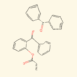 C=CC(=O)Oc1ccccc1C(=O)c1ccccc1.O=C(c1ccccc1)c1ccccc1